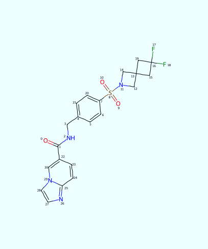 O=C(NCc1ccc(S(=O)(=O)N2CC3(C2)CC(F)(F)C3)cc1)c1ccc2nccn2c1